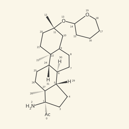 CC(=O)[C@@]1(N)CC[C@H]2[C@@H]3CCC4C[C@@](C)(OC5CCCCO5)CC[C@]4(C)[C@H]3CC[C@@]21C